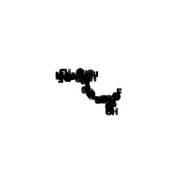 Cc1ncsc1-c1ccc(CNC(=O)[C@@H]2CCCN2C(=O)C(NC(=O)CCCC(=O)N2CCN(CCOc3ccc(Oc4c(-c5ccc(F)cc5)sc5cc(O)ccc45)cc3)CC2)C(C)(C)C)cc1